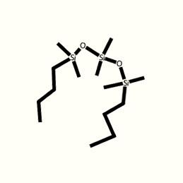 CCCC[Si](C)(C)O[Si](C)(C)O[Si](C)(C)CCCC